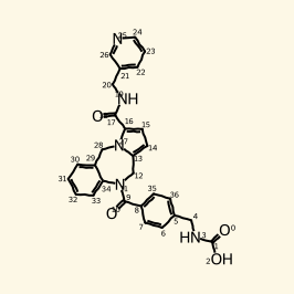 O=C(O)NCc1ccc(C(=O)N2Cc3ccc(C(=O)NCc4cccnc4)n3Cc3ccccc32)cc1